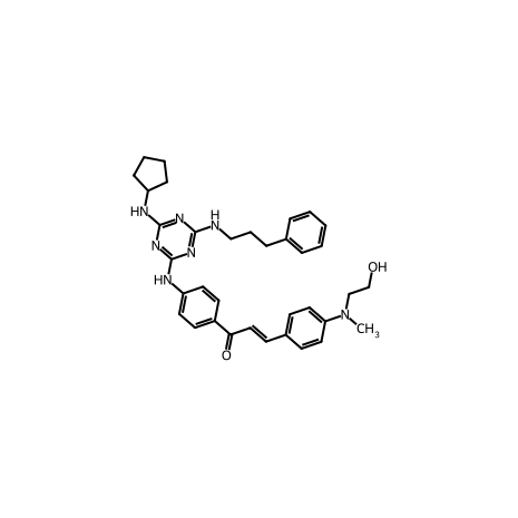 CN(CCO)c1ccc(C=CC(=O)c2ccc(Nc3nc(NCCCc4ccccc4)nc(NC4CCCC4)n3)cc2)cc1